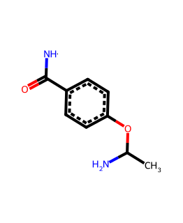 CC(N)Oc1ccc(C([NH])=O)cc1